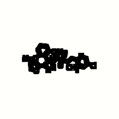 COc1cccc(OC)c1-n1c(NS(=O)(=O)[C@H](C)Cc2ncc(Cl)cn2)nnc1-c1ccco1